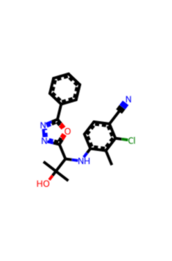 Cc1c(NC(c2nnc(-c3ccccc3)o2)C(C)(C)O)ccc(C#N)c1Cl